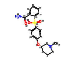 CN1CCC[C@H](Oc2ccc(S(=O)(=O)c3ccccc3C(N)=O)cc2)C1